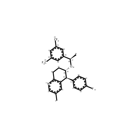 Cc1cnc2c(c1)[C@H](c1ccc(F)cc1)[C@@H](O[C@H](C)c1cc(C(F)(F)F)cc(C(F)(F)F)c1)CC2